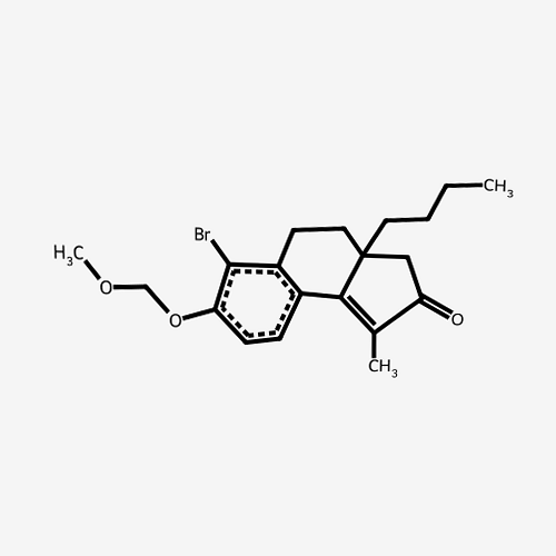 CCCCC12CCc3c(ccc(OCOC)c3Br)C1=C(C)C(=O)C2